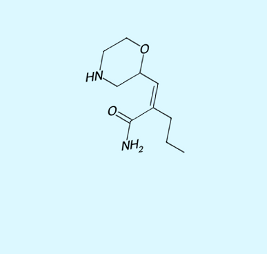 CCCC(=CC1CNCCO1)C(N)=O